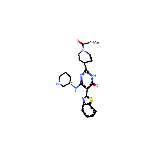 CNC(=O)N1CCC(c2nc(N[C@@H]3CCCNC3)c(-c3nc4ccccc4s3)c(=O)[nH]2)CC1